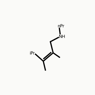 CCCNC/C(C)=C(/C)C(C)C